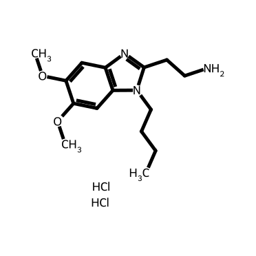 CCCCn1c(CCN)nc2cc(OC)c(OC)cc21.Cl.Cl